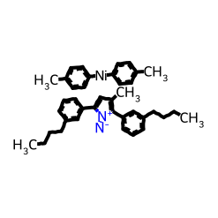 CCCCc1cccc(C2=CC(C)=C(c3cccc(CCCC)c3)[N+]2=[N-])c1.Cc1cc[c]([Ni][c]2ccc(C)cc2)cc1